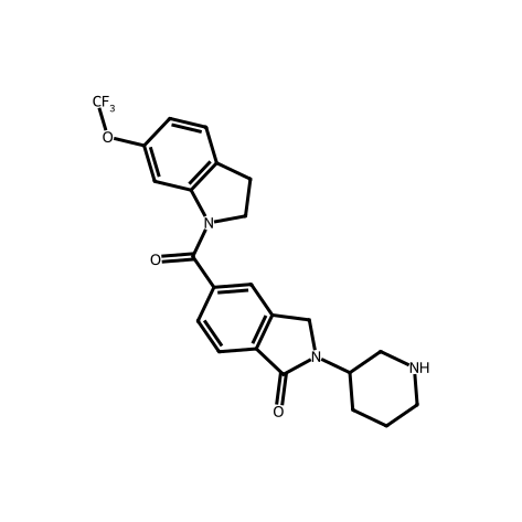 O=C(c1ccc2c(c1)CN(C1CCCNC1)C2=O)N1CCc2ccc(OC(F)(F)F)cc21